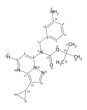 [2H]c1cc(N(Cc2cccc(N)c2)C(=O)OC(C)(C)C)n2ncc(C3CC3)c2n1